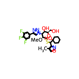 CO[C@@H]1[C@@H](n2cc(-c3cc(F)c(F)c(F)c3)nn2)[C@@H](O)[C@@H](CO)O[C@H]1SC(c1nocc1C)C1(O)CCCCC1